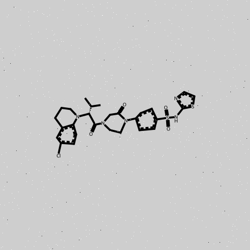 CC(C)[C@H](C(=O)N1CCN(c2ccc(S(=O)(=O)Nc3nccs3)cc2)C(=O)C1)N1CCCc2cc(Cl)ccc21